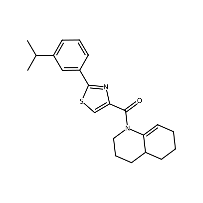 CC(C)c1cccc(-c2nc(C(=O)N3CCCC4CCCC=C43)cs2)c1